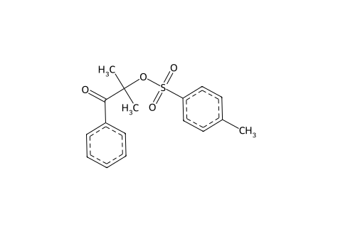 Cc1ccc(S(=O)(=O)OC(C)(C)C(=O)c2ccccc2)cc1